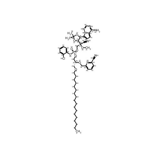 CCCCCCCCCCCCCCCCCCOC[C@H](COP(=O)(OC[C@@](C#N)(OC)[C@H]1OC(C)(C)O[C@H]1c1ccc2c(N)ncnn12)Oc1ccccc1Cl)OCc1cccc(C#N)n1